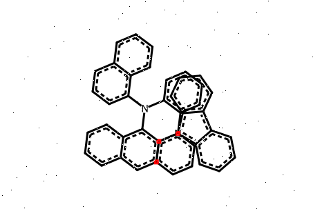 c1ccc(-c2ccccc2N(c2cccc3ccccc23)c2c(-n3c4ccccc4c4ccccc43)ccc3ccccc23)cc1